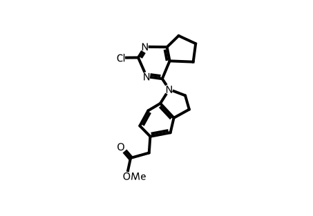 COC(=O)Cc1ccc2c(c1)CCN2c1nc(Cl)nc2c1CCC2